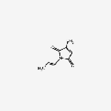 CC=CN1C(=O)C=C(C)C1=O